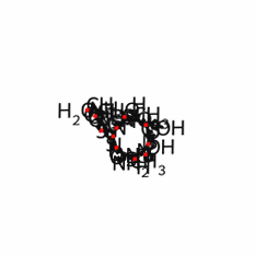 C=C(O)C(=C)NC(=O)C(=C)NC(=O)c1csc(-c2ccc3c(n2)-c2csc(n2)-c2csc(n2)C(C(C)C2CO2)NC(=O)C(Cc2ccc(O)cc2)CC(=O)c2csc(n2)C(C(O)c2ccccc2)NC(=O)c2nc(sc2C)C(CC(N)=O)CC(=O)c2csc-3n2)n1